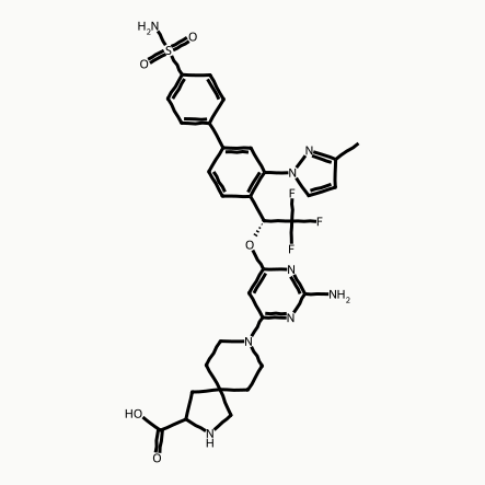 Cc1ccn(-c2cc(-c3ccc(S(N)(=O)=O)cc3)ccc2[C@@H](Oc2cc(N3CCC4(CC3)CNC(C(=O)O)C4)nc(N)n2)C(F)(F)F)n1